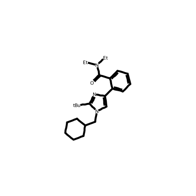 CCN(CC)C(=O)c1ccccc1-c1cn(CC2CCCCC2)c(C(C)(C)C)n1